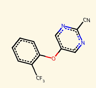 N#Cc1ncc(Oc2ccccc2C(F)(F)F)cn1